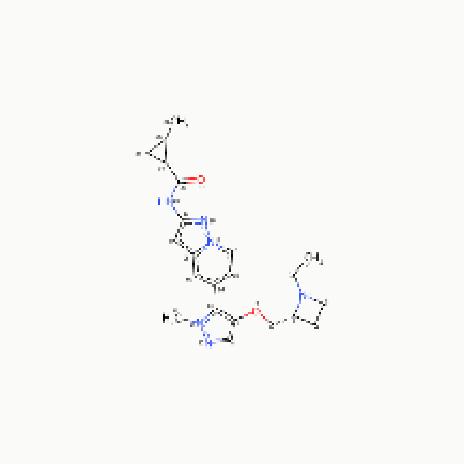 CCN1CC[C@@H]1COc1cnn(C)c1-c1ccn2nc(NC(=O)C3CC3C)cc2c1